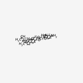 CC(C)CCCC(C)C1CCC2C3CC=C4CC(OC(=O)CCC(=O)Oc5ccc(N)cc5N)CCC4(C)C3CCC12C